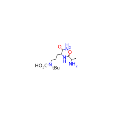 C[C@@H](N)C(=O)N[C@@H](CCCN(C(=O)O)C(C)(C)C)C(N)=O